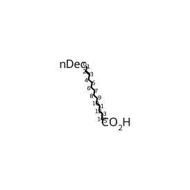 CCCCCCCCCCCC=CCCCCCCCCCCCC(=O)O